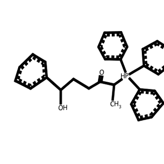 CC(C(=O)CCC(O)c1ccccc1)[PH](c1ccccc1)(c1ccccc1)c1ccccc1